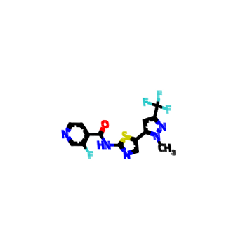 Cn1nc(C(F)(F)F)cc1-c1cnc(NC(=O)c2ccncc2F)s1